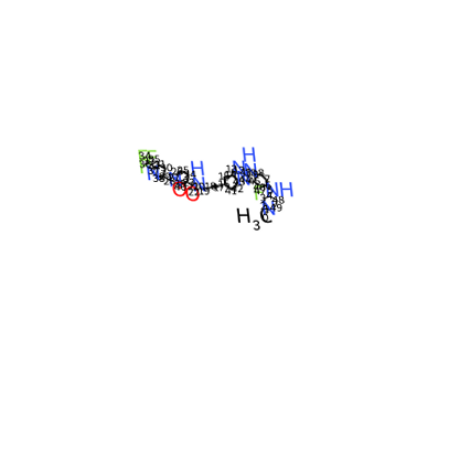 CN1CCC(Nc2ccc(Nc3ncc4cc(C#CCNC(=O)c5cccn(Cc6ccc(C(F)(F)F)nc6)c5=O)ccc4n3)cc2F)CC1